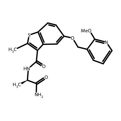 COc1ncccc1COc1ccc2sc(C)c(C(=O)N[C@H](C)C(N)=O)c2c1